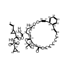 C=CC1C[C@]1(NC(=O)[C@@H]1C[C@@H]2CN1C(=O)[C@H](C(C)(C)C)NC(=O)OCCCCC/C=C/c1ccccc1C#CCO2)C(=O)NS(=O)(=O)C1CC1